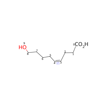 O=C(O)CC/C=C\CCCCO